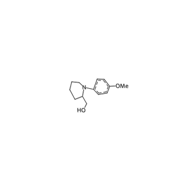 COc1ccc(N2CCCCC2CO)cc1